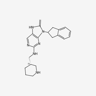 C=C1Nc2cnc(NC[C@H]3CCCNC3)nc2N1C1Cc2ccccc2C1